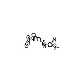 CC(C)Oc1ccc(-c2ncc(C/C=C\C=C3/CCC[C@@H]3NC(=O)N3CCOCC3)s2)cc1C#N